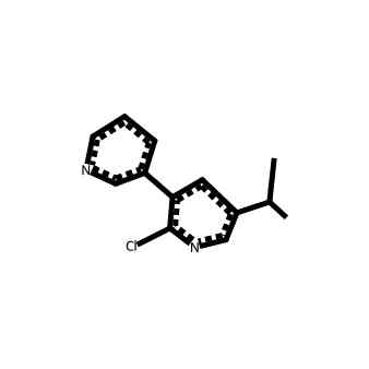 CC(C)c1cnc(Cl)c(-c2cccnc2)c1